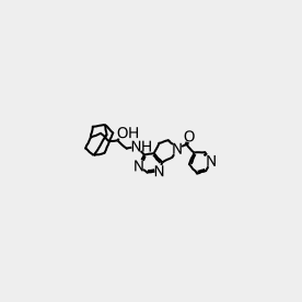 O=C(c1cccnc1)N1CCc2c(ncnc2NCC(O)C23CC4CC(CC(C4)C2)C3)C1